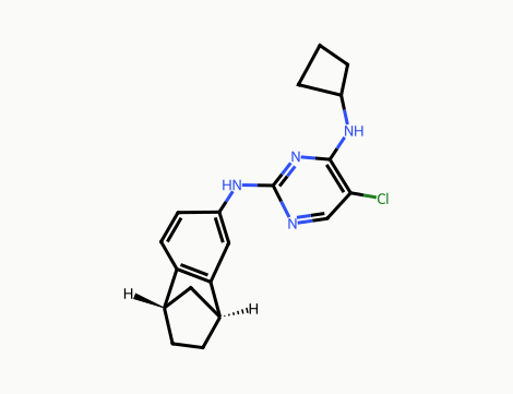 Clc1cnc(Nc2ccc3c(c2)[C@H]2CC[C@H]3C2)nc1NC1CCC1